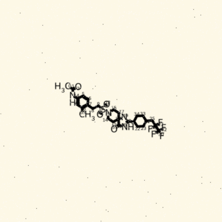 CC(=O)Nc1ccc(CCS(=O)(=O)N2CCC3(CC2)N=C(C2CCC(CC(F)(F)C(F)(F)F)CC2)NC3=O)c(C)c1